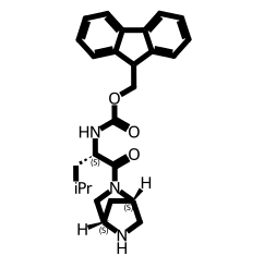 CC(C)C[C@H](NC(=O)OCC1c2ccccc2-c2ccccc21)C(=O)N1C[C@@H]2C[C@H]1CN2